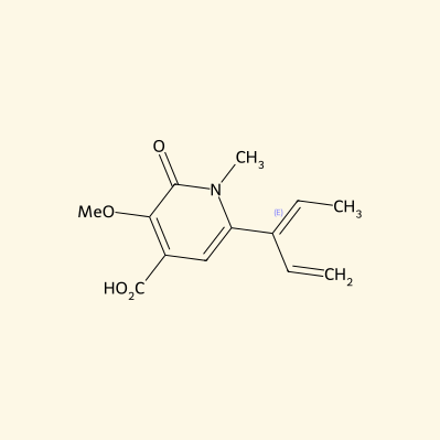 C=C/C(=C\C)c1cc(C(=O)O)c(OC)c(=O)n1C